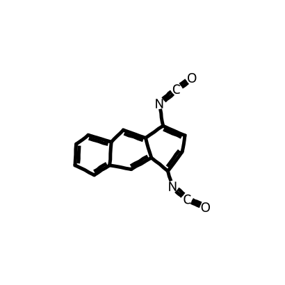 O=C=Nc1ccc(N=C=O)c2cc3ccccc3cc12